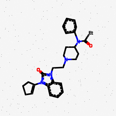 CCC(=O)N(c1ccccc1)C1CCN(CCn2c(=O)n(C3=CCCC3)c3ccccc32)CC1